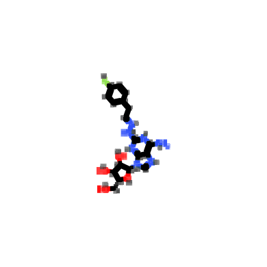 Nc1nc(NN=CCc2ccc(F)cc2)nc2c1ncn2[C@@H]1O[C@H](CO)[C@@H](O)[C@H]1O